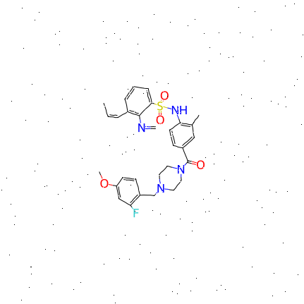 C=Nc1c(/C=C\C)cccc1S(=O)(=O)Nc1ccc(C(=O)N2CCN(Cc3ccc(OC)cc3F)CC2)cc1C